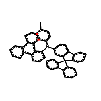 Cc1ccc(N(c2ccc3c(c2)C2(c4ccccc4-c4ccccc42)c2ccccc2-3)c2cccc3c4ccccc4c4ccccc4c23)cc1